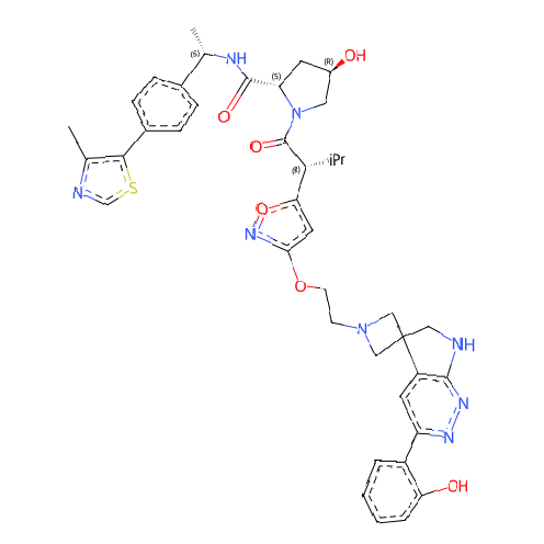 Cc1ncsc1-c1ccc([C@H](C)NC(=O)[C@@H]2C[C@@H](O)CN2C(=O)[C@@H](c2cc(OCCN3CC4(CNc5nnc(-c6ccccc6O)cc54)C3)no2)C(C)C)cc1